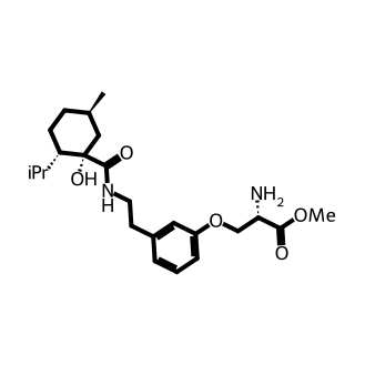 COC(=O)[C@@H](N)COc1cccc(CCNC(=O)[C@]2(O)C[C@H](C)CC[C@H]2C(C)C)c1